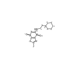 Cc1nc2c(s1)C(=O)C=C(NCCN1CCCCC1)C2=O